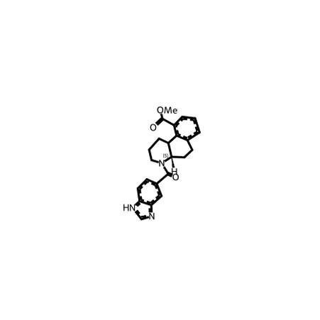 COC(=O)c1cccc2c1C1CCCN(C(=O)c3ccc4[nH]cnc4c3)[C@H]1CC2